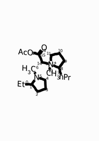 CCC1CCCN1C.CCCC1CCC[N+]1(C)CC(=O)OC(C)=O